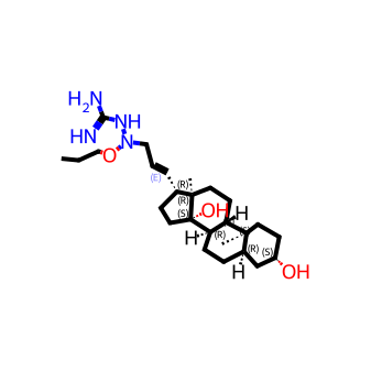 CCCON(C/C=C/[C@H]1CC[C@]2(O)[C@@H]3CC[C@@H]4C[C@@H](O)CC[C@]4(C)[C@H]3CC[C@]12C)NC(=N)N